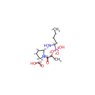 CCCCC(N)P(=O)(O)OC(C)C(=O)N1CCC[C@H]1C(=O)O